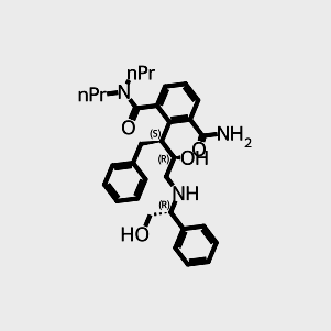 CCCN(CCC)C(=O)c1cccc(C(N)=O)c1[C@H](Cc1ccccc1)[C@@H](O)CN[C@@H](CO)c1ccccc1